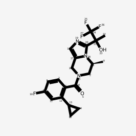 C[C@H]1CN(C(=O)c2ccc(F)cc2C2CC2)Cc2cnc(C(C)(O)C(F)(F)F)n21